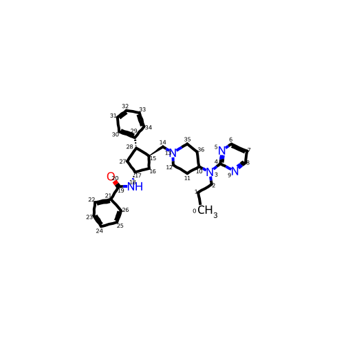 CCCN(c1ncccn1)C1CCN(C[C@H]2C[C@H](NC(=O)c3ccccc3)C[C@@H]2c2ccccc2)CC1